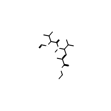 CCOC(=O)/C(C)=C/C(C(C)C)N(C)C(=O)C(NC=O)C(C)C